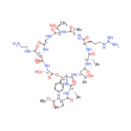 CC[C@H](C)[C@@H]1NC(=O)[C@@H](CCCNC(=N)N)NC(=O)[C@H](CC(C)C)NC(=O)[C@H]([C@H](O)C(C)C)NC(=O)[C@@H](NC(=O)[C@H](CC(C)C)NC(=O)[C@@H](CC(C)C)NC(=O)OC(C)(C)C)[C@@H](c2ccccc2)OC(=O)[C@H](CO)NC(=O)[C@H]([C@H](O)C(=O)NCCN)NC(=O)CNC(=O)[C@H]([C@H](C)O)NC1=O